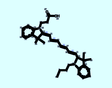 CCCCN1c2ccccc2C(C)(C)C1/C=C/C=C/C=C/C=C1/N(CCC(=O)O)c2ccccc2C1(C)C